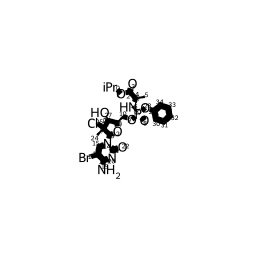 CC(C)OC(=O)[C@@H](C)N[P@@](=O)(OC[C@H]1OC(n2cc(Br)c(N)nc2=O)[C@](C)(Cl)[C@@H]1O)Oc1ccccc1